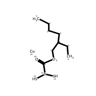 CCCCC(CC)COC(=O)N(S)S.[Cu]